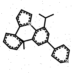 CC(C)c1cc(-c2ccncc2)cc(C(C)C)c1-n1cccc1-c1ccccc1